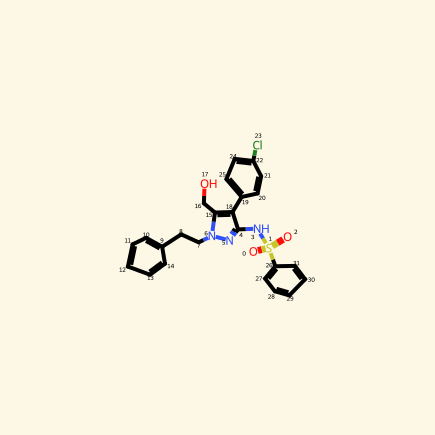 O=S(=O)(Nc1nn(CCc2ccccc2)c(CO)c1-c1ccc(Cl)cc1)c1ccccc1